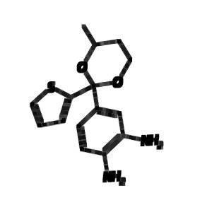 CC1CCOC(c2ccc(N)c(N)c2)(c2cccs2)O1